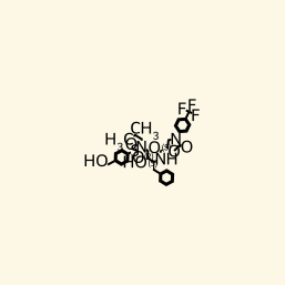 CC(C)CN(C[C@@H](O)[C@H](Cc1ccccc1)NC(=O)[C@@H]1CN(c2ccc(C(F)(F)F)cc2)C(=O)O1)S(=O)(=O)c1ccc(CO)cc1